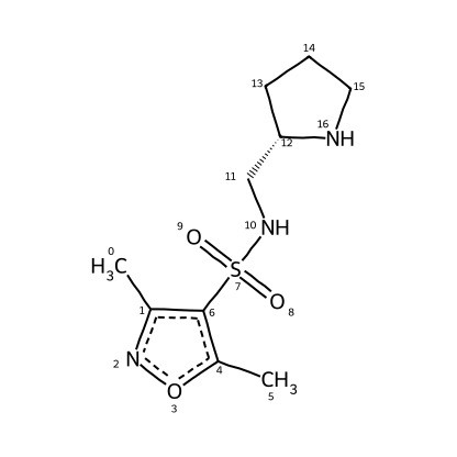 Cc1noc(C)c1S(=O)(=O)NC[C@@H]1CCCN1